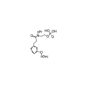 CCCCCCCCCCOc1cccc(CCC(=O)N(CCC)CCOP(=O)(O)O)c1